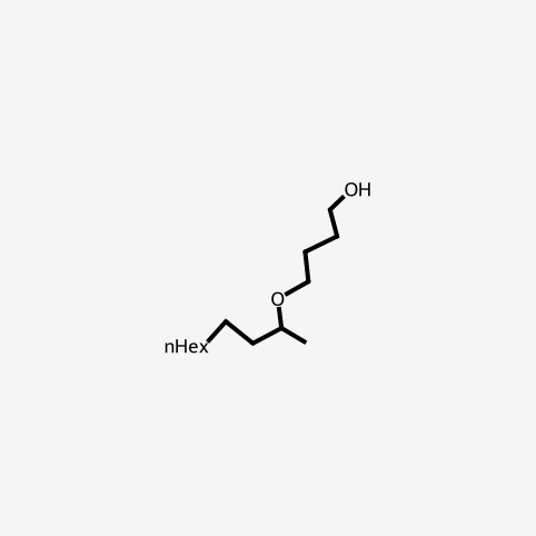 CCCCCCCCC(C)OCCCCO